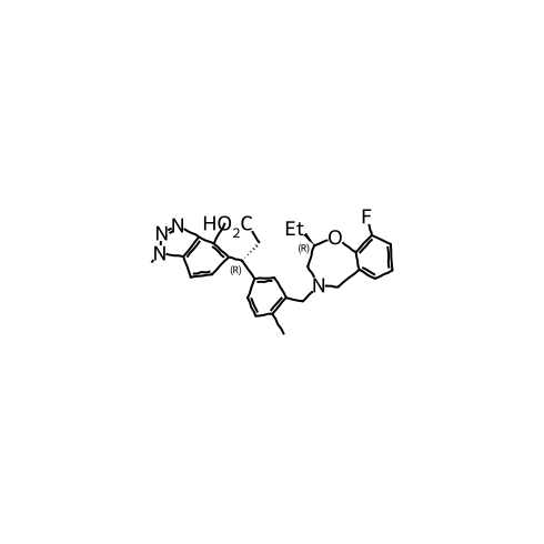 CC[C@@H]1CN(Cc2cc([C@@H](CC(=O)O)c3ccc4c(nnn4C)c3C)ccc2C)Cc2cccc(F)c2O1